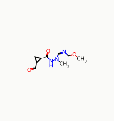 COC/N=C\N(C)NC(=O)[C@H]1C[C@@H]1C=O